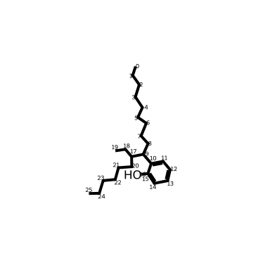 CCCCCCCCCC(c1ccccc1O)C(CC)CCCCCC